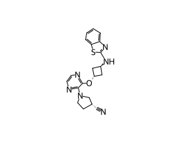 N#C[C@@H]1CCN(c2nccnc2O[C@H]2C[C@H](Nc3nc4ccccc4s3)C2)C1